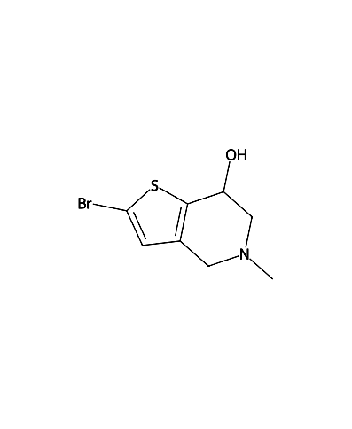 CN1Cc2cc(Br)sc2C(O)C1